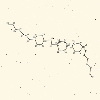 CCCCCCCC1(C)CCC(c2ccc(CC[C@H]3CC[C@H](CCCCCCC)CC3)cc2)CC1